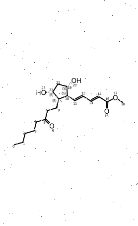 CCCCCC(=O)CC[C@@H]1[C@H](C=CC=CC(=O)OC)[C@@H](O)C[C@H]1O